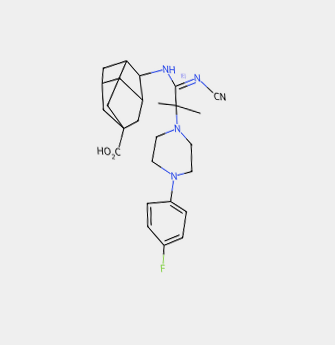 CC(C)(/C(=N\C#N)NC1C2CC3CC1CC(C(=O)O)(C3)C2)N1CCN(c2ccc(F)cc2)CC1